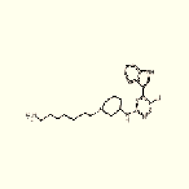 NCCCCCCCN1CCCC(Nc2ncc(Cl)c(-c3c[nH]c4ccccc34)n2)C1